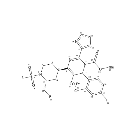 CCOC(=O)C1=C([C@@H]2CCN(S(C)(=O)=O)[C@@H](CF)C2)N=C(c2nccs2)N(C(=O)OC(C)(C)C)C1c1ccc(F)cc1Cl